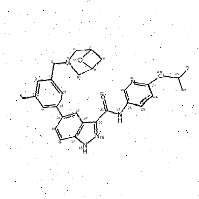 Cc1cc(CN2CC3CC(C2)O3)cc(-c2ccc3[nH]nc(C(=O)Nc4ccc(OC(C)C)nc4)c3c2)c1